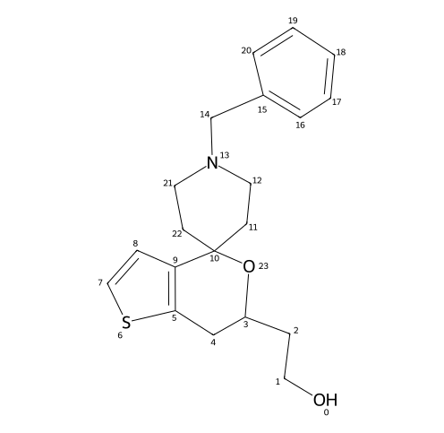 OCCC1Cc2sccc2C2(CCN(Cc3ccccc3)CC2)O1